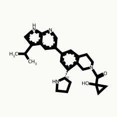 CC(C)c1c[nH]c2ncc(-c3cc4c(c([C@@H]5CCCN5)c3)CN(C(=O)C3(O)CC3)CC4)cc12